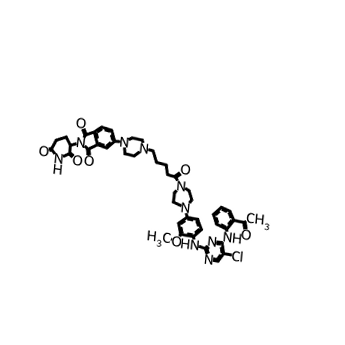 COc1cc(N2CCN(C(=O)CCCCN3CCN(c4ccc5c(c4)C(=O)N(C4CCC(=O)NC4=O)C5=O)CC3)CC2)ccc1Nc1ncc(Cl)c(Nc2ccccc2C(C)=O)n1